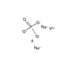 O=P([O-])([O-])[O-].[F].[Na+].[Na+].[V+5]